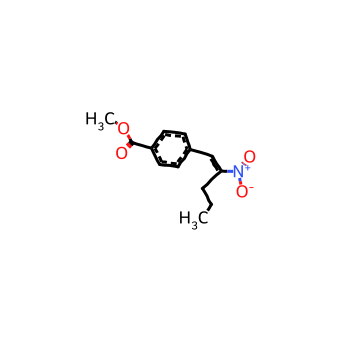 CCC/C(=C\c1ccc(C(=O)OC)cc1)[N+](=O)[O-]